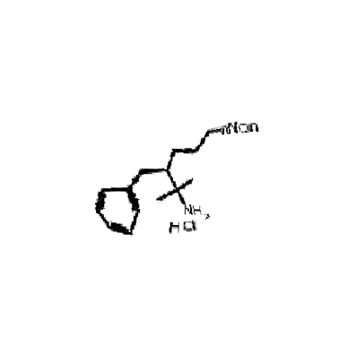 CCCCCCCCCCCCC(Cc1ccccc1)C(C)(C)N.Cl